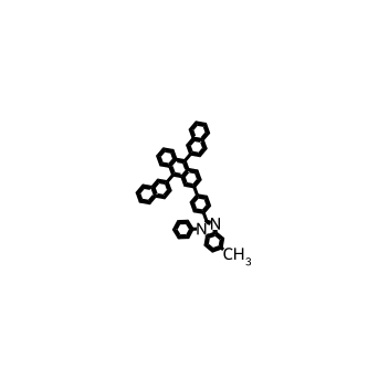 Cc1ccc2c(c1)nc(-c1ccc(-c3ccc4c(-c5ccc6ccccc6c5)c5ccccc5c(-c5ccc6ccccc6c5)c4c3)cc1)n2-c1ccccc1